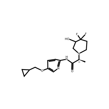 C[C@@H](C(=O)Nc1ccc(OCC2CC2)cn1)N1CCC(F)(F)C(O)C1